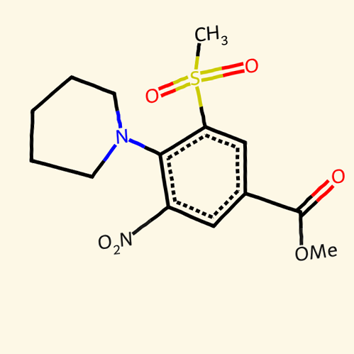 COC(=O)c1cc([N+](=O)[O-])c(N2CCCCC2)c(S(C)(=O)=O)c1